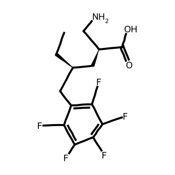 CC[C@H](Cc1c(F)c(F)c(F)c(F)c1F)C[C@@H](CN)C(=O)O